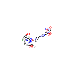 CCc1c(F)ccc2cc(O)cc(-c3ncc4c(N5CCC[C@@](C)(O)C5)nc(OCC5(CN6CCC7(CC6)CC(N6CCN(c8ccc9c(c8)oc(=O)n9C8CCC(=O)NC8=O)CC6)C7)CC5)nc4c3F)c12